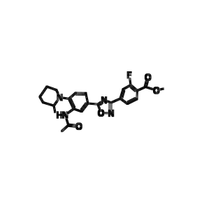 COC(=O)c1ccc(-c2noc(-c3ccc(N4CCCCC4C)c(NC(C)=O)c3)n2)cc1F